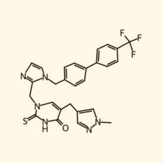 Cn1cc(Cc2cn(Cc3nccn3Cc3ccc(-c4ccc(C(F)(F)F)cc4)cc3)c(=S)[nH]c2=O)cn1